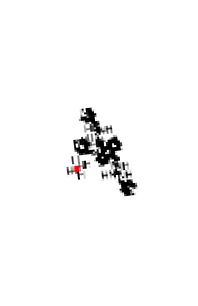 I.I.I.I.N=C(NCc1ccncc1)NN=Cc1c2ccccc2c(C=NNC(=N)NCc2ccncc2)c2c(NCc3ccncc3)cccc12